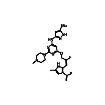 C=C(F)c1cc(C)[nH]c1/C=C(/F)COc1cc(Nc2cc(C(C)(C)C)[nH]n2)nc(N2CCN(C)CC2)n1